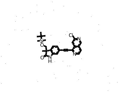 CC1(CO[Si](C)(C)C(C)(C)C)C(=O)Nc2cc(C#Cc3nccc4cnc(Cl)cc34)ccc21